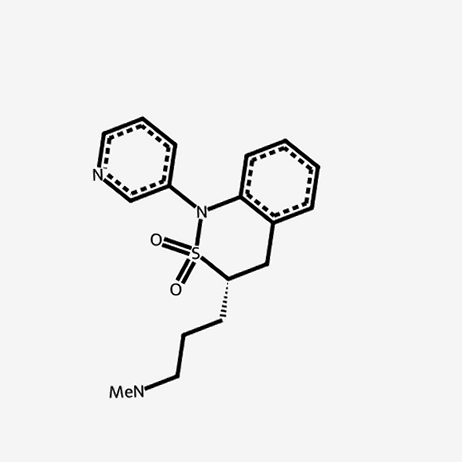 CNCCC[C@H]1Cc2ccccc2N(c2cccnc2)S1(=O)=O